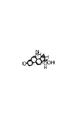 C[C@]12CCC(=O)C=C1C[C@@H](C#N)C1C2=CC[C@@]2(C)C1[C@@H]1C[C@@H]1[C@@]2(O)CO